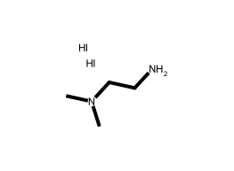 CN(C)CCN.I.I